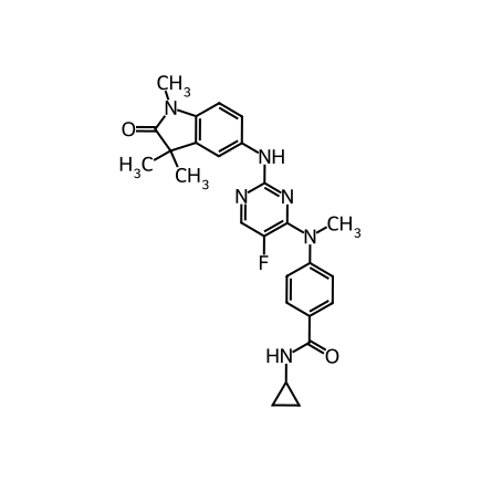 CN1C(=O)C(C)(C)c2cc(Nc3ncc(F)c(N(C)c4ccc(C(=O)NC5CC5)cc4)n3)ccc21